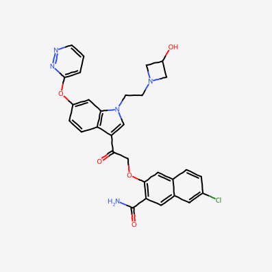 NC(=O)c1cc2cc(Cl)ccc2cc1OCC(=O)c1cn(CCN2CC(O)C2)c2cc(Oc3cccnn3)ccc12